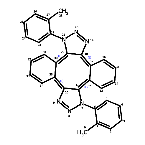 Cc1ccccc1-n1nnc2/c1=c1/cccc/c1=c1\nnn(-c3ccccc3C)\c1=c1/cccc/c1=2